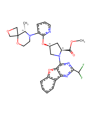 COC(=O)[C@@H]1C[C@H](Oc2ncccc2N2CCOC3(COC3)[C@@H]2C)CN1c1nc(C(F)F)nc2c1oc1ccccc12